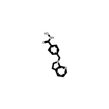 O=C(NO)c1ccc(CN2CCc3cccnc32)cc1